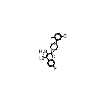 B/C(C(=O)N1CCN(c2cc(Cl)ccc2C)CC1)=C(\B)c1ccc(F)cc1